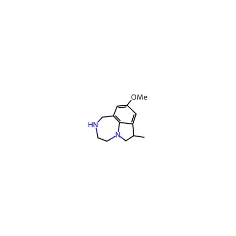 COc1cc2c3c(c1)C(C)CN3CCNC2